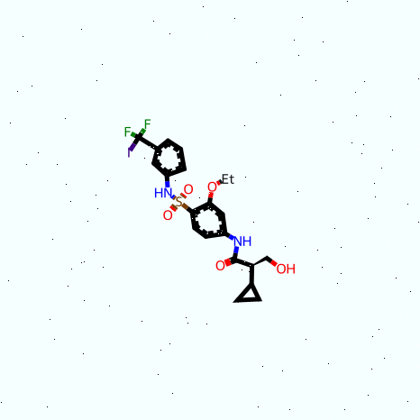 CCOc1cc(NC(=O)[C@@H](CO)C2CC2)ccc1S(=O)(=O)Nc1cccc(C(F)(F)I)c1